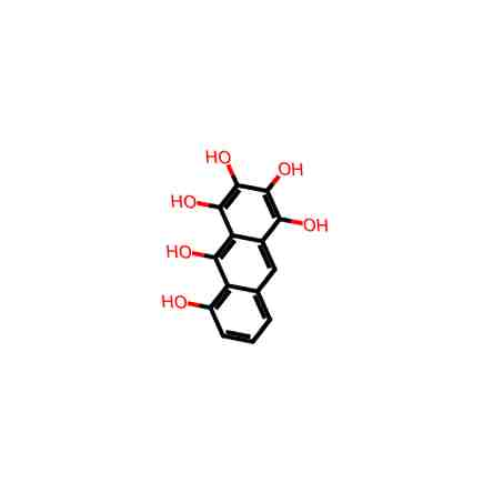 Oc1c(O)c(O)c2c(O)c3c(O)cccc3cc2c1O